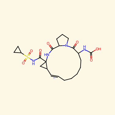 O=C(O)NC1CCCCC/C=C/C2CC2(C(=O)NS(=O)(=O)C2CC2)NC(=O)C2CCCN2C1=O